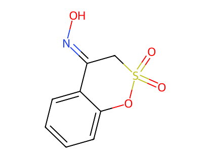 O=S1(=O)CC(=NO)c2ccccc2O1